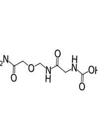 NC(=O)COCNC(=O)CNC(=O)O